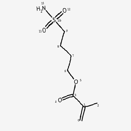 C=C(C)C(=O)OCCCCS(N)(=O)=O